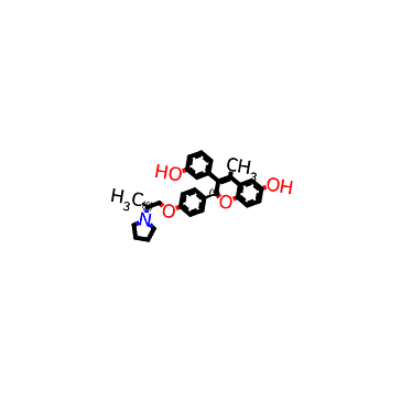 CC1=C(c2cccc(O)c2)[C@H](c2ccc(OC[C@H](C)N3CCCC3)cc2)Oc2ccc(O)cc21